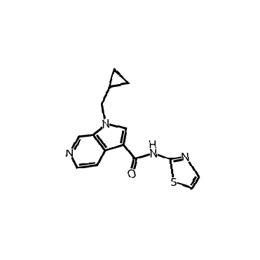 O=C(Nc1nccs1)c1cn(CC2CC2)c2cnccc12